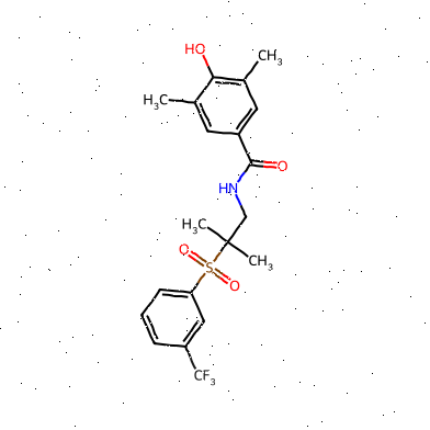 Cc1cc(C(=O)NCC(C)(C)S(=O)(=O)c2cccc(C(F)(F)F)c2)cc(C)c1O